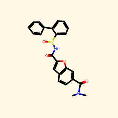 CN(C)C(=O)c1ccc2cc(C(=O)N[S+]([O-])c3ccccc3-c3ccccc3)oc2c1